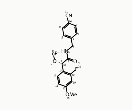 CCCO[C@H](C(=O)NCc1ccc(C#N)cc1)c1ccc(OC)cc1F